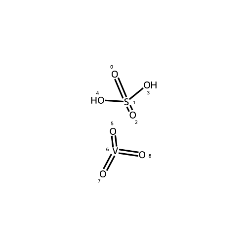 O=S(=O)(O)O.[O]=[V](=[O])=[O]